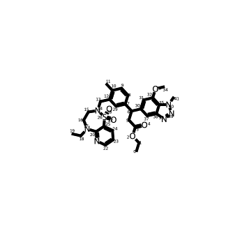 CCOC(=O)CC(c1ccc(C)c(CN2CCN(CC)c3ncccc3S2(=O)=O)c1)c1cc(OC)c2c(c1)nnn2C